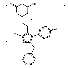 CC(C)c1nn(Cc2ccccc2)c(-c2ccc(F)cc2)c1CCC1CC(O)CC(=O)O1